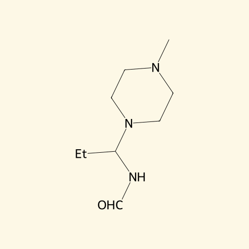 CCC(NC=O)N1CCN(C)CC1